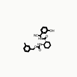 Cc1cccc(COC(=O)N[C@@H]2CCCC[C@H]2C(=O)NC(C#N)c2cccc(O)c2)c1